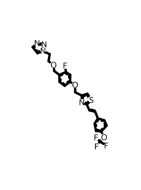 Fc1cc(OCc2csc(/C=C/c3ccc(OC(F)(F)F)cc3)n2)ccc1COCCn1ccnn1